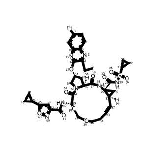 CCc1nc2ccc(F)cc2nc1O[C@@H]1C[C@H]2C(=O)N[C@]3(C(=O)NS(=O)(=O)C4CC4)C[C@H]3/C=C\CCCCC[C@H](NC(=O)c3cc(C4CC4)on3)C(=O)N2C1